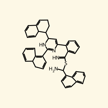 N=C(SC(N)c1cccc2ccccc12)c1ccccc1C1=CC(C2CCC=C3C=CC=CC32)NC(C2=C3C=CC=CC3CC=C2)=N1